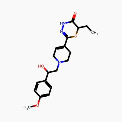 CCC1SC(C2=CCN(CC(O)c3ccc(OC)cc3)CC2)=NNC1=O